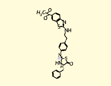 CS(=O)(=O)c1ccc2nc(NCCc3ccc(/N=C4/N[C@@H](Cc5ccccc5)C(=O)S4)cc3)sc2c1